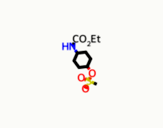 CCOC(=O)NC1CCC(OS(C)(=O)=O)CC1